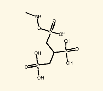 CBOP(=O)(O)CC(CP(=O)(O)O)P(=O)(O)O